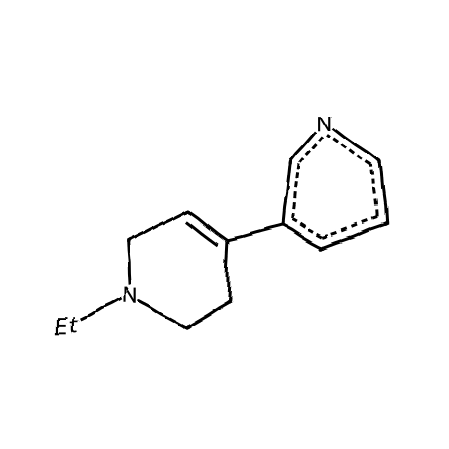 CCN1CC=C(c2cccnc2)CC1